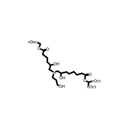 CCCCCCCCCCCOC(=O)CCCC(O)CN(CCCO)CC(O)CCCCCC(=O)OC(CCCCCCCC)CCCCCCCC